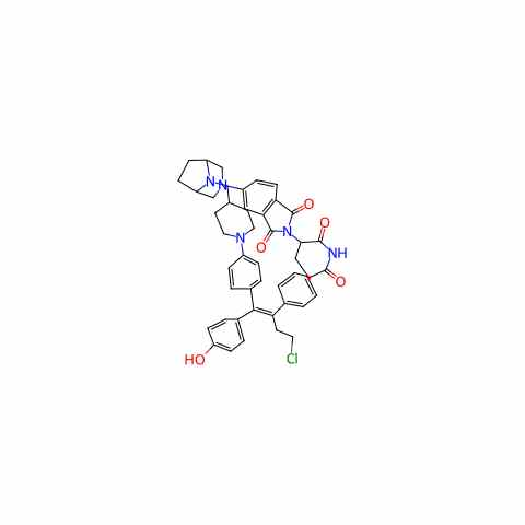 O=C1CCC(N2C(=O)c3ccc(N4CC5CCC(C4)N5CC4CCN(c5ccc(C(=C(CCCl)c6ccccc6)c6ccc(O)cc6)cc5)CC4)cc3C2=O)C(=O)N1